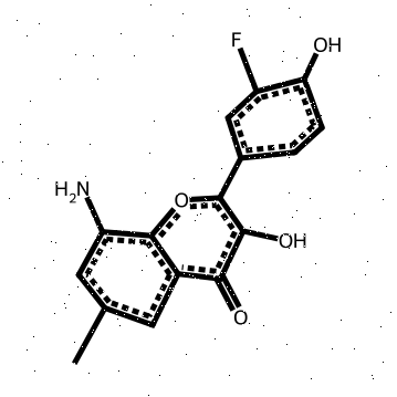 Cc1cc(N)c2oc(-c3ccc(O)c(F)c3)c(O)c(=O)c2c1